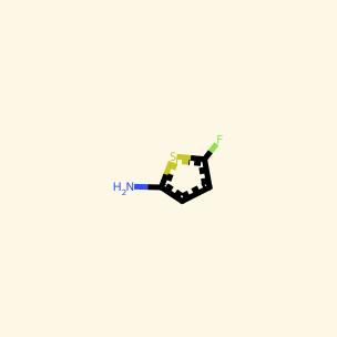 Nc1ccc(F)s1